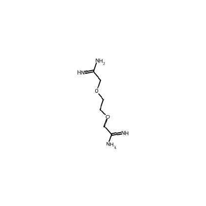 N=C(N)COCCOCC(=N)N